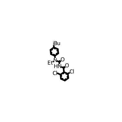 CCC(C)c1ccc(N(CC)C(=O)NC(=O)c2c(Cl)cccc2Cl)cc1